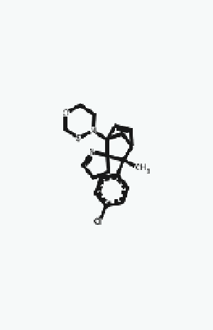 CC1(c2ccc(Cl)cc2)C2C=CC(N3CCOCS3)(C2)C12CCC=N2